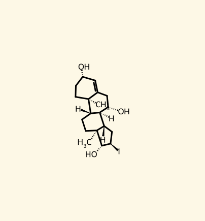 C[C@]12CC[C@H]3[C@@H]([C@@H](O)CC4=C[C@@H](O)CC[C@@]43C)[C@@H]1C[C@@H](I)[C@@H]2O